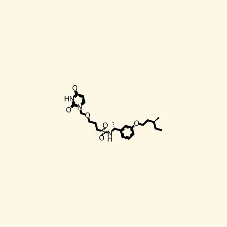 CC[C@H](C)CCOc1cccc([C@@H](C)NS(=O)(=O)CCCOCn2ccc(=O)[nH]c2=O)c1